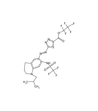 CC(C)CN1CCCc2cc(N=Nc3nnc(C(=O)OC(F)(F)C(F)(F)F)s3)c(NS(=O)(=O)C(F)(F)F)cc21